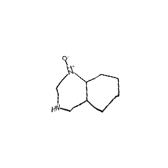 [O-][NH+]1CNCC2CCCCC21